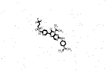 CC(C)n1c(=O)c(-c2ccc(NS(=O)(=O)CCC(F)(F)F)nc2)nc2cnc(N[C@H]3CC[C@H](N(C)C)CC3)nc21